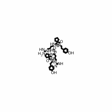 N=C(N)NCCCC(NC(=O)C1(C(=O)NCCc2ccc(O)cc2)CCCC1)OBOC(CCCNC(=N)N)NC(=O)C1(C(=O)NCCc2ccc(O)cc2)CCCC1